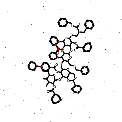 CC1C(COCc2ccccc2)OC(OC2C3OC(c4ccccc4)OCC3OC(OC3C(COCc4ccccc4)OC(OC4C5OC(c6ccccc6)OCC5OC(OCN(Cc5ccccc5)C(=O)OCc5ccccc5)C4OC(=O)c4ccccc4)C(OC(=O)c4ccccc4)C3C)C2OC(=O)c2ccccc2)C(OC(=O)c2ccccc2)C1C